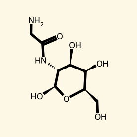 NCC(=O)N[C@@H]1[C@@H](O)[C@@H](O)[C@@H](CO)O[C@H]1O